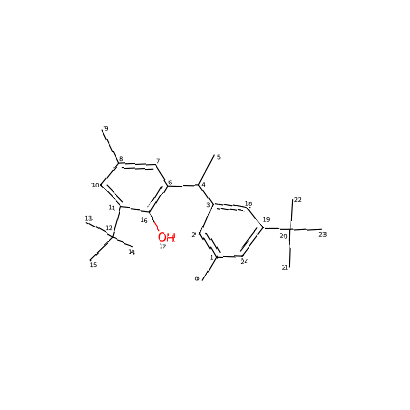 Cc1cc(C(C)c2cc(C)cc(C(C)(C)C)c2O)[c]c(C(C)(C)C)c1